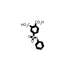 O=C(O)c1ccc(S(=O)(=O)Sc2ccccc2)cc1C(=O)O